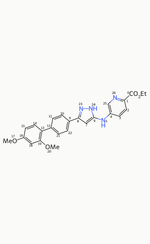 CCOC(=O)c1ccc(Nc2cc(-c3ccc(-c4ccc(OC)cc4OC)cc3)n[nH]2)cn1